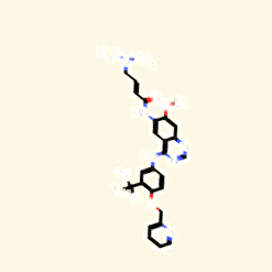 [2H]C([2H])([2H])c1cc(Nc2ncnc3cc(OCC)c(NC(=O)/C=C/CN(C)C)cc23)ccc1OCc1ccccn1